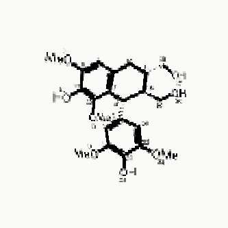 COc1cc([C@@H]2c3c(cc(OC)c(O)c3OC)C[C@H](CO)[C@H]2CO)cc(OC)c1O